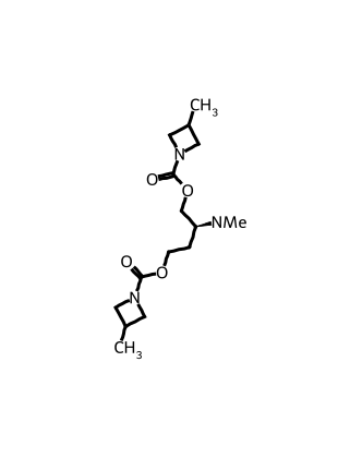 CN[C@@H](CCOC(=O)N1CC(C)C1)COC(=O)N1CC(C)C1